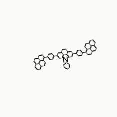 c1ccc(-n2c3cc(-c4ccc(-c5ccc6ccc7cccc8ccc5c6c78)cc4)cc4ccc5cc(-c6ccc(-c7ccc8ccc9cccc%10ccc7c8c9%10)cc6)cc2c5c43)cc1